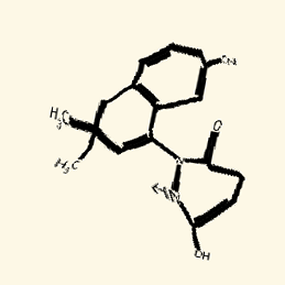 CC1(C)C=C(N2NC(O)=CCC2=O)c2cc(C#N)ccc2C1